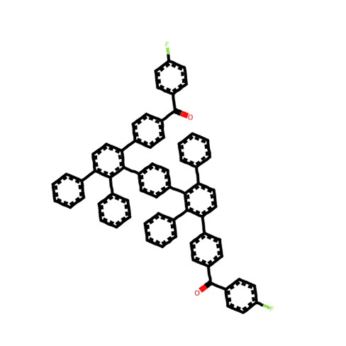 O=C(c1ccc(F)cc1)c1ccc(-c2ccc(-c3ccccc3)c(-c3ccc(-c4c(-c5ccc(C(=O)c6ccc(F)cc6)cc5)ccc(-c5ccccc5)c4-c4ccccc4)cc3)c2-c2ccccc2)cc1